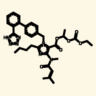 CCCCc1nc(N(C)C(=O)C=C(C)C)c(C(=O)OC(C)OC(=O)OCC)n1Cc1ccc(-c2ccccc2-c2nnn[nH]2)cc1